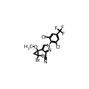 COC1(c2cn(-c3c(Cl)cc(C(F)(F)F)cc3Cl)nc2C#N)CC1(Br)Br